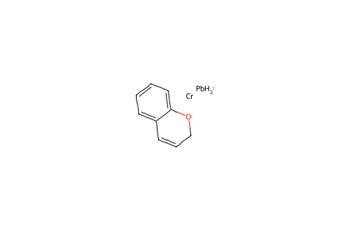 C1=Cc2ccccc2OC1.[Cr].[PbH2]